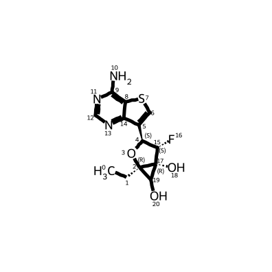 CC[C@]12O[C@@H](c3csc4c(N)ncnc34)[C@H](F)[C@@]1(O)C2O